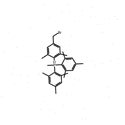 Cc1cc(C)c([PH](C)(c2c(C)cc(C)cc2C)c2c(C)cc(CBr)cc2C)c(C)c1